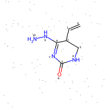 C=CC1CNC(=O)N=C1NN